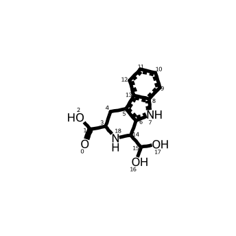 O=C(O)C1Cc2c([nH]c3ccccc23)C(C(O)O)N1